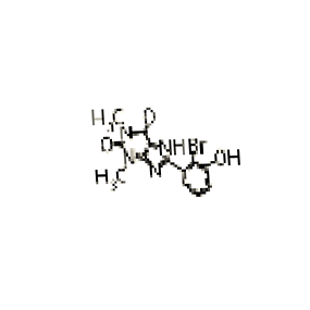 Cn1c(=O)c2[nH]c(-c3cccc(O)c3Br)nc2n(C)c1=O